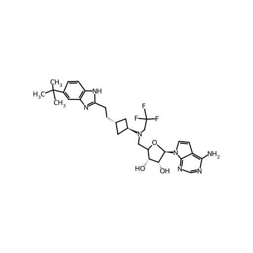 CC(C)(C)c1ccc2[nH]c(CC[C@H]3C[C@H](N(CC4O[C@@H](n5ccc6c(N)ncnc65)[C@H](O)[C@@H]4O)CC(F)(F)F)C3)nc2c1